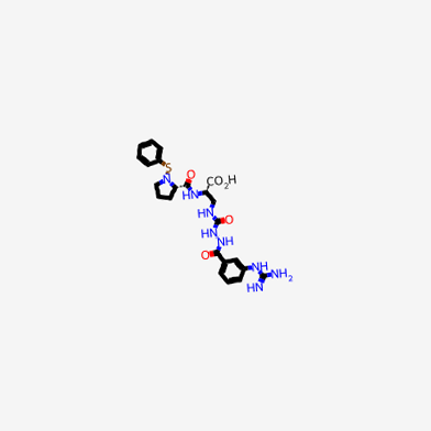 N=C(N)Nc1cccc(C(=O)NNC(=O)NC[C@H](NC(=O)[C@@H]2CCCN2Sc2ccccc2)C(=O)O)c1